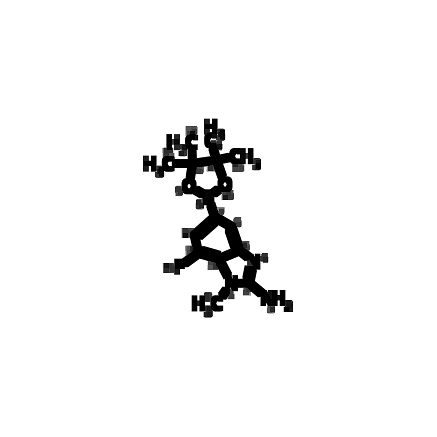 Cn1c(N)nc2cc(B3OC(C)(C)C(C)(C)O3)cc(F)c21